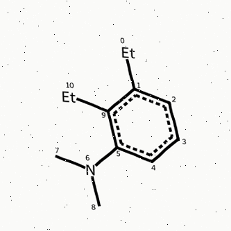 CCc1cccc(N(C)C)c1CC